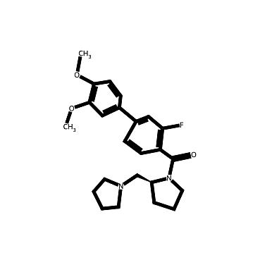 COc1ccc(-c2ccc(C(=O)N3CCC[C@H]3CN3CCCC3)c(F)c2)cc1OC